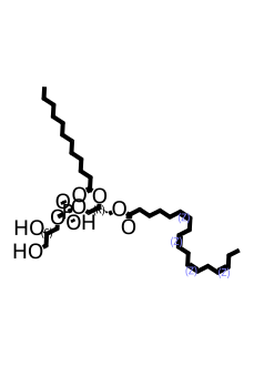 CC/C=C\C/C=C\C/C=C\C/C=C\CCCCC(=O)OC[C@H](COP(=O)(O)OC[C@@H](O)CO)OC(=O)CCCCCCCCCCC